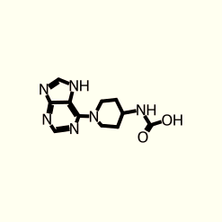 O=C(O)NC1CCN(c2ncnc3nc[nH]c23)CC1